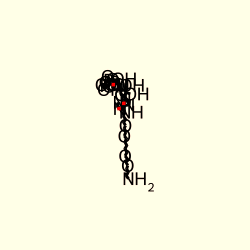 NCCCOCCOCCCCCOCCOCCCNc1ncnc2c1ncn2C1OC(COP(=O)(O)OP(=O)(O)OP(=O)(O)O)C(O)C1O